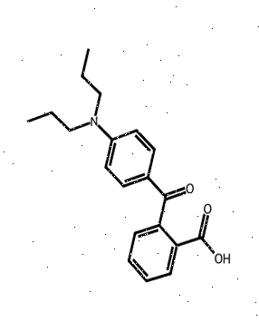 CCCN(CCC)c1ccc(C(=O)c2ccccc2C(=O)O)cc1